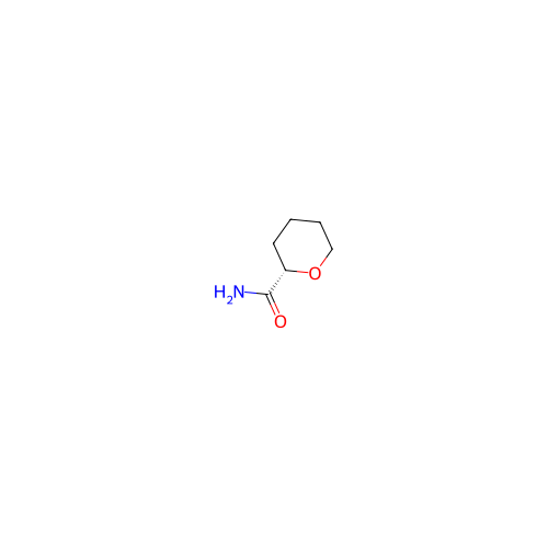 NC(=O)[C@@H]1CCCCO1